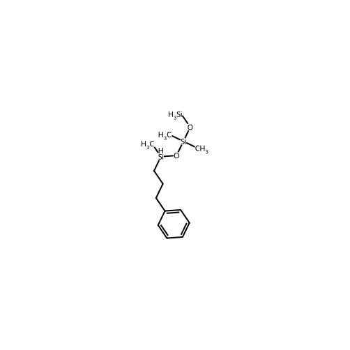 C[SiH](CCCc1ccccc1)O[Si](C)(C)O[SiH3]